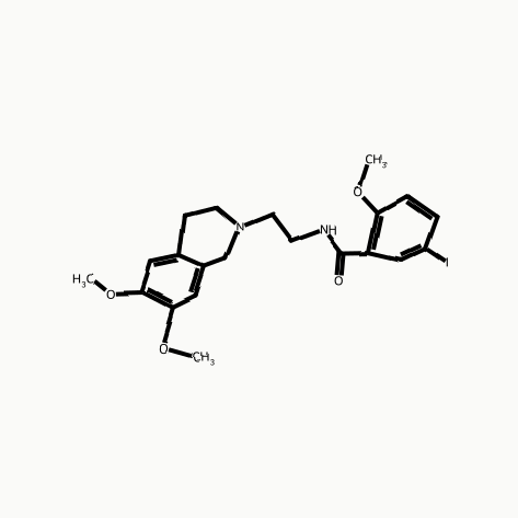 COc1cc2c(cc1OC)CN(CCNC(=O)c1cc(I)ccc1OC)CC2